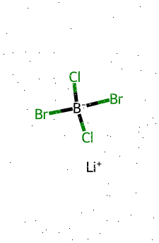 Cl[B-](Cl)(Br)Br.[Li+]